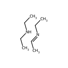 CC=NCC.CCNCC